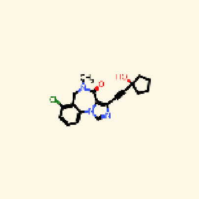 CN1Cc2c(Cl)cccc2-n2cnc(C#CC3(O)CCCC3)c2C1=O